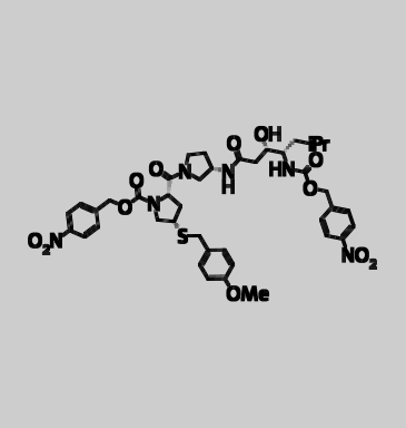 COc1ccc(CS[C@H]2C[C@@H](C(=O)N3CC[C@H](NC(=O)C[C@H](O)[C@H](CC(C)C)NC(=O)OCc4ccc([N+](=O)[O-])cc4)C3)N(C(=O)OCc3ccc([N+](=O)[O-])cc3)C2)cc1